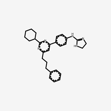 c1ccc(CCCc2cc(-c3ccc(NC4=NCCN4)cc3)nc(C3CCCCC3)n2)cc1